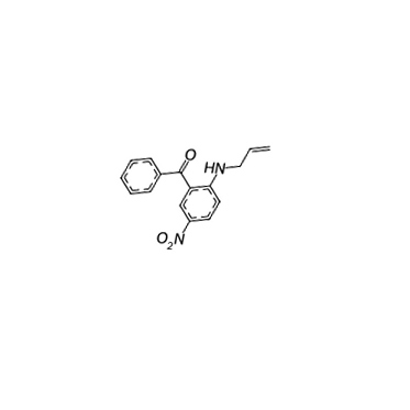 C=CCNc1ccc([N+](=O)[O-])cc1C(=O)c1ccccc1